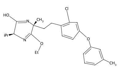 CCOC1=N[C@@H](C(C)C)C(O)=N[C@]1(C)CCc1ccc(Oc2cccc(C)c2)cc1Cl